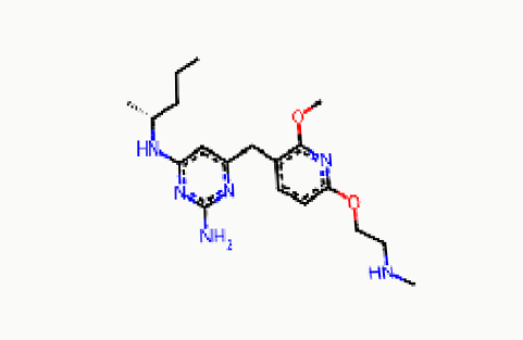 CCC[C@@H](C)Nc1cc(Cc2ccc(OCCNC)nc2OC)nc(N)n1